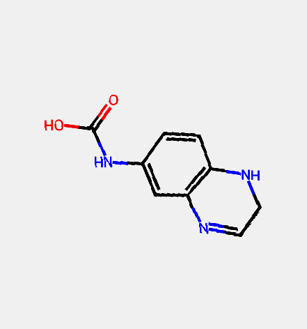 O=C(O)Nc1ccc2c(c1)N=CCN2